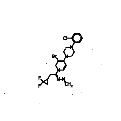 C=N/N=C(/CC1CC1(F)F)N1C=CC(N2CCN(c3ccccc3Cl)CC2)=C(Br)C1